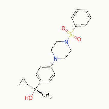 C[C@](O)(c1ccc(N2CCN(S(=O)(=O)c3ccccc3)CC2)cc1)C1CC1